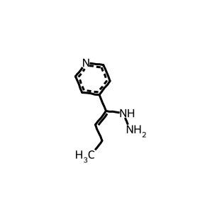 CCC=C(NN)c1ccncc1